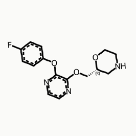 Fc1ccc(Oc2nccnc2OC[C@H]2CNCCO2)cc1